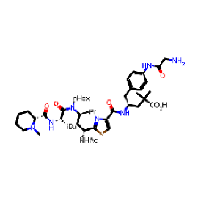 CCCCCCN(C(=O)[C@@H](NC(=O)[C@H]1CCCCN1C)[C@@H](C)CC)[C@H](C[C@@H](NC(C)=O)c1nc(C(=O)N[C@@H](Cc2ccc(NC(=O)CN)cc2)CC(C)(C)C(=O)O)cs1)C(C)C